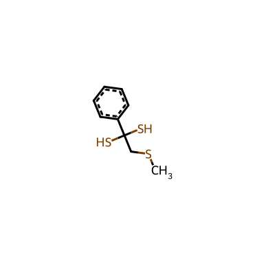 CSCC(S)(S)c1ccccc1